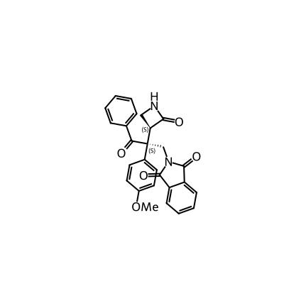 COc1ccc([C@@](CN2C(=O)c3ccccc3C2=O)(C(=O)c2ccccc2)[C@H]2CNC2=O)cc1